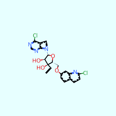 C=C[C@@]1(O)[C@@H](COc2ccc3ccc(Cl)nc3c2)O[C@@H](n2ccc3c(Cl)ncnc32)[C@@H]1O